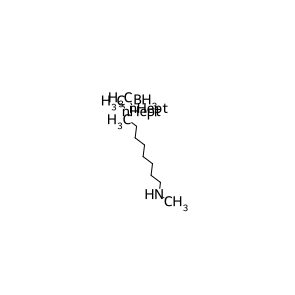 B.CCCCCCCC.CCCCCCCC.CCCCCCCCNC